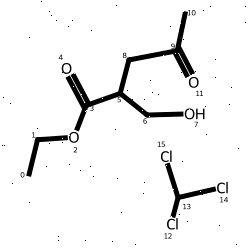 CCOC(=O)C(CO)CC(C)=O.ClC(Cl)Cl